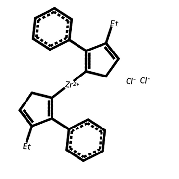 CCC1=CC[C]([Zr+2][C]2=C(c3ccccc3)C(CC)=CC2)=C1c1ccccc1.[Cl-].[Cl-]